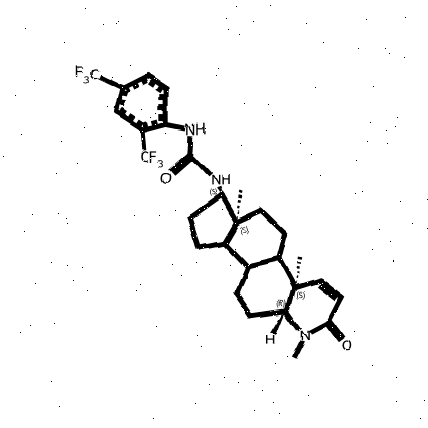 CN1C(=O)C=C[C@]2(C)C3CC[C@@]4(C)C(CC[C@@H]4NC(=O)Nc4ccc(C(F)(F)F)cc4C(F)(F)F)C3CC[C@@H]12